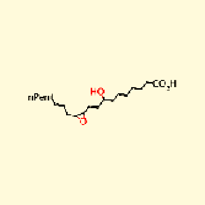 CCCCCC=CCC1OC1C=CC(O)CC=CCCCC(=O)O